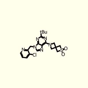 CC(C)(C)c1nc(N2CC3(C2)CS(=O)(=O)C3)c2ncn(Cc3ncccc3Cl)c2n1